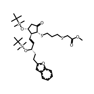 COC(=O)CSCCCS[C@H]1C(=O)C[C@@H](O[Si](C)(C)C(C)(C)C)[C@@H]1C=C[C@H](CCc1cc2ccccc2o1)O[Si](C)(C)C(C)(C)C